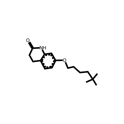 CC(C)(C)CCCCOc1ccc2c(c1)NC(=O)CC2